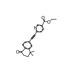 CCOC(=O)c1ccc(C#Cc2ccc3c(c2)C(C)(C)CCC3=O)nc1